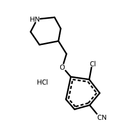 Cl.N#Cc1ccc(OCC2CCNCC2)c(Cl)c1